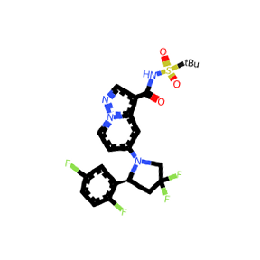 CC(C)(C)S(=O)(=O)NC(=O)c1cnn2ccc(N3CC(F)(F)C[C@H]3c3cc(F)ccc3F)cc12